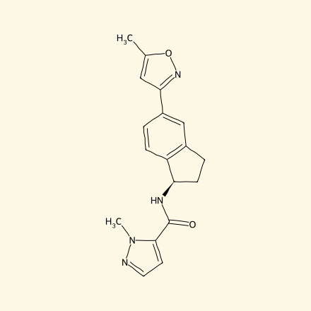 Cc1cc(-c2ccc3c(c2)CC[C@H]3NC(=O)c2ccnn2C)no1